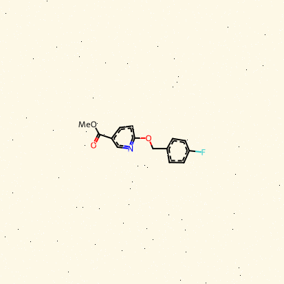 COC(=O)c1ccc(OCc2ccc(F)cc2)nc1